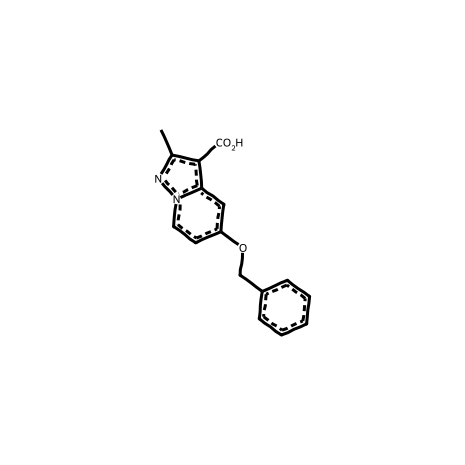 Cc1nn2ccc(OCc3ccccc3)cc2c1C(=O)O